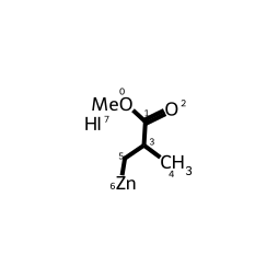 COC(=O)C(C)[CH2][Zn].I